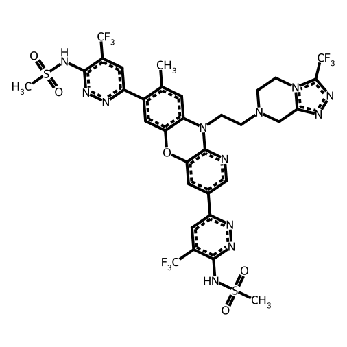 Cc1cc2c(cc1-c1cc(C(F)(F)F)c(NS(C)(=O)=O)nn1)Oc1cc(-c3cc(C(F)(F)F)c(NS(C)(=O)=O)nn3)cnc1N2CCN1CCn2c(nnc2C(F)(F)F)C1